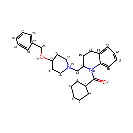 O=C(C1CCCCC1)N1c2ccccc2CCC1CN1CCC(OCc2ccccc2)CC1